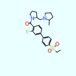 CCS(=O)(=O)c1ccc(-c2ccc(C(=O)N3CCCC3CN3CCCC3C)c(F)c2)cc1